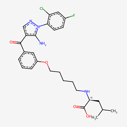 CC(C)C[C@H](NCCCCCOc1cccc(C(=O)c2cnn(-c3ccc(F)cc3Cl)c2N)c1)C(=O)O